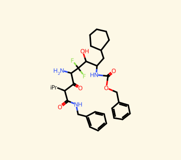 CC(C)C(C(=O)NCc1ccccc1)C(=O)C(N)C(F)(F)C(O)C(CC1CCCCC1)NC(=O)OCc1ccccc1